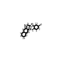 Cc1ccc(C)c(Sc2cnc3cc4ccccc4cc3n2)c1